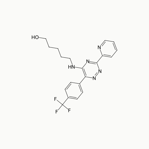 OCCCCCNc1nc(-c2ccccn2)nnc1-c1ccc(C(F)(F)F)cc1